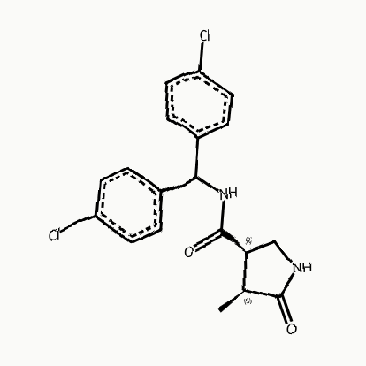 C[C@@H]1C(=O)NC[C@@H]1C(=O)NC(c1ccc(Cl)cc1)c1ccc(Cl)cc1